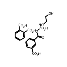 O=C(O)c1cccc(C(=O)OS(=O)(=O)O)c1.O=C(O)c1ccccc1C(=O)O.OCCO